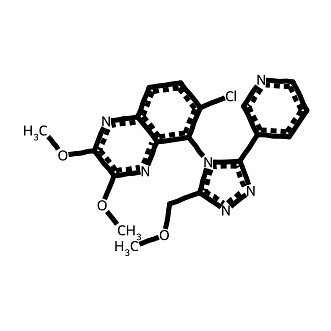 COCc1nnc(-c2cccnc2)n1-c1c(Cl)ccc2nc(OC)c(OC)nc12